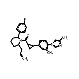 C=CCC1CCCC(c2ccc(F)cc2)N1C(=O)C1CC1c1ccc(-n2cnc(C)c2)c(C)c1